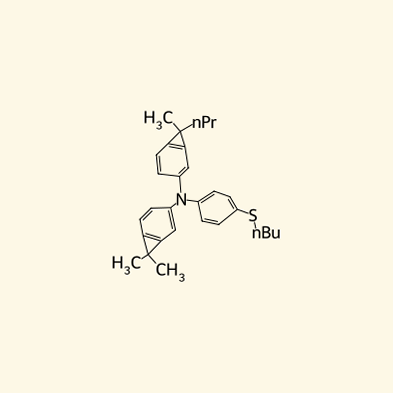 CCCCSc1ccc(N(c2ccc3c(c2)C3(C)C)c2ccc3c(c2)C3(C)CCC)cc1